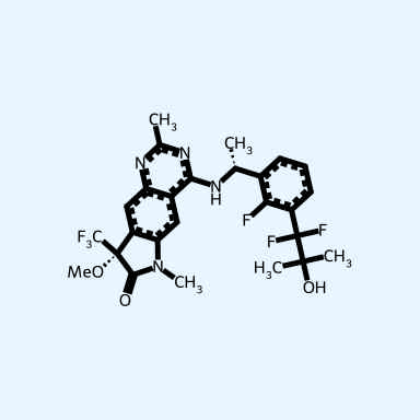 CO[C@@]1(C(F)(F)F)C(=O)N(C)c2cc3c(N[C@H](C)c4cccc(C(F)(F)C(C)(C)O)c4F)nc(C)nc3cc21